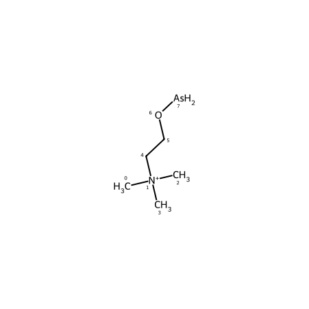 C[N+](C)(C)CCO[AsH2]